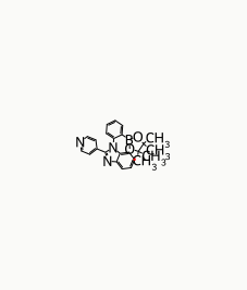 CC1(C)OB(c2ccccc2-n2c(-c3ccncc3)nc3ccccc32)OC1(C)C